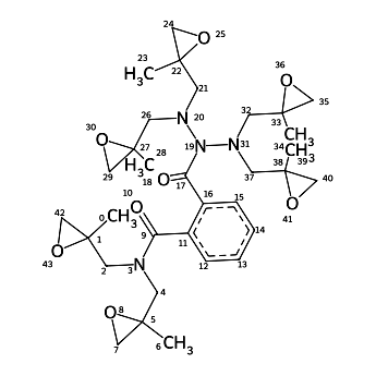 CC1(CN(CC2(C)CO2)C(=O)c2ccccc2C(=O)N(N(CC2(C)CO2)CC2(C)CO2)N(CC2(C)CO2)CC2(C)CO2)CO1